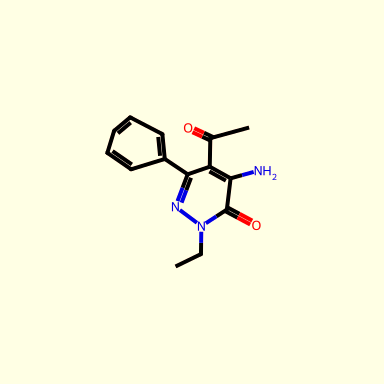 CCn1nc(-c2ccccc2)c(C(C)=O)c(N)c1=O